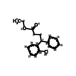 CCOC(=O)CCC(c1ccccc1)c1ccccc1Cl